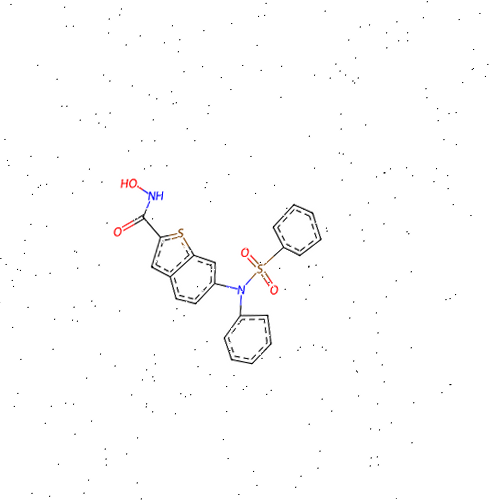 O=C(NO)c1cc2ccc(N(c3ccccc3)S(=O)(=O)c3ccccc3)cc2s1